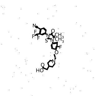 CC1(C)C(=O)N(c2ccc(C#N)c(C(F)(F)F)c2)C(=S)N1c1ccc(OCCN2CCC(CC(=O)O)CC2)c(F)c1